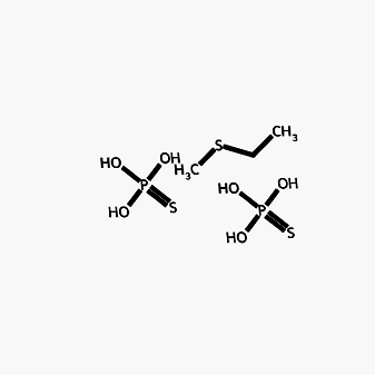 CCSC.OP(O)(O)=S.OP(O)(O)=S